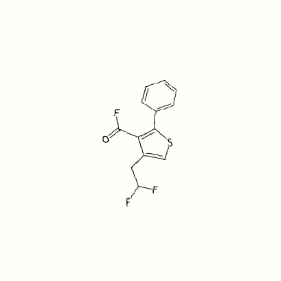 O=C(F)c1c(CC(F)F)csc1-c1ccccc1